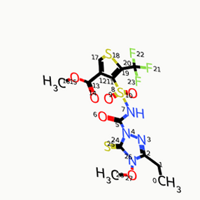 CCc1nn(C(=O)NS(=O)(=O)c2c(C(=O)OC)csc2C(F)(F)F)c(=S)n1OC